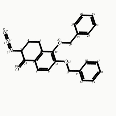 [N-]=[N+]=NC1CCc2c(ccc(OCc3ccccc3)c2OCc2ccccc2)C1=O